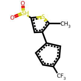 Cc1sc([SH](=O)=O)cc1-c1ccc(C(F)(F)F)cc1